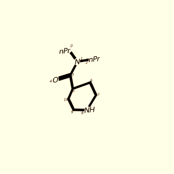 CCCN(CCC)C(=O)C1CCNCC1